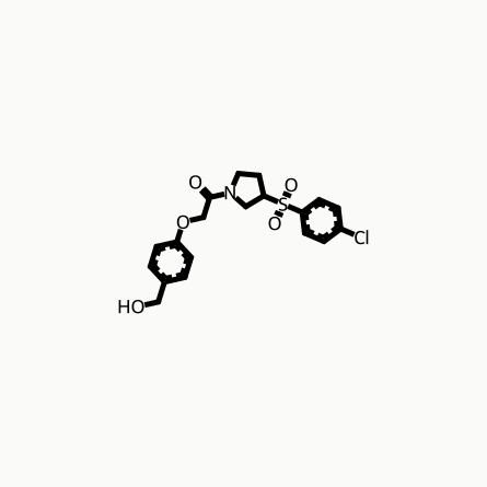 O=C(COc1ccc(CO)cc1)N1CCC(S(=O)(=O)c2ccc(Cl)cc2)C1